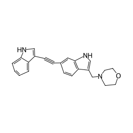 C(#Cc1c[nH]c2ccccc12)c1ccc2c(CN3CCOCC3)c[nH]c2c1